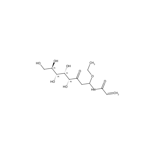 C=CC(=O)NC(CC(=O)[C@H](O)[C@@H](O)[C@H](O)[C@H](O)CO)OCC